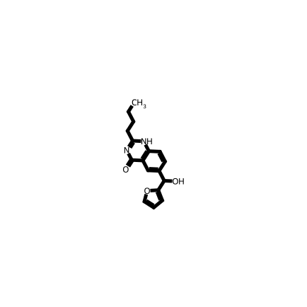 CCCCc1nc(=O)c2cc(C(O)c3ccco3)ccc2[nH]1